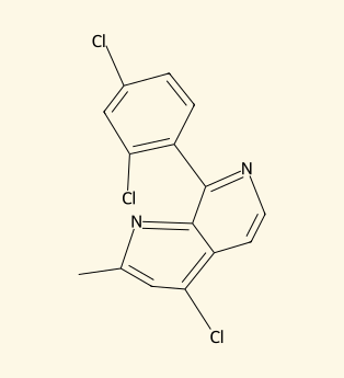 Cc1cc(Cl)c2ccnc(-c3ccc(Cl)cc3Cl)c2n1